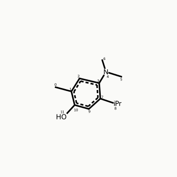 Cc1cc(N(C)C)c(C(C)C)cc1O